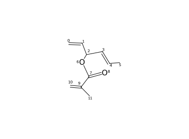 C=CC(C=CC)OC(=O)C(=C)C